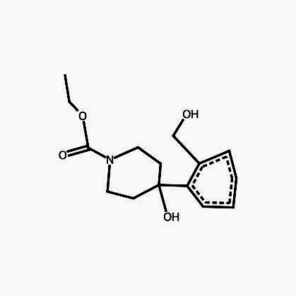 CCOC(=O)N1CCC(O)(c2ccccc2CO)CC1